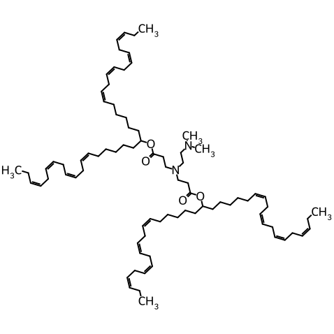 CC/C=C\C/C=C\C/C=C\C/C=C\CCCCCC(CCCCC/C=C\C/C=C\C/C=C\C/C=C\CC)OC(=O)CCN(CCC(=O)OC(CCCCC/C=C\C/C=C\C/C=C\C/C=C\CC)CCCCC/C=C\C/C=C\C/C=C\C/C=C\CC)CCN(C)C